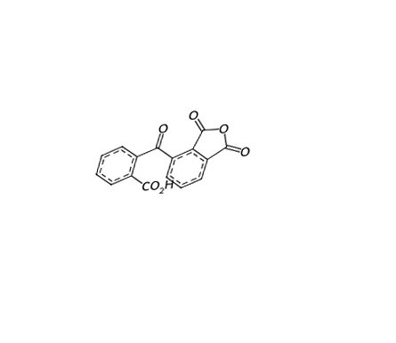 O=C(O)c1ccccc1C(=O)c1cccc2c1C(=O)OC2=O